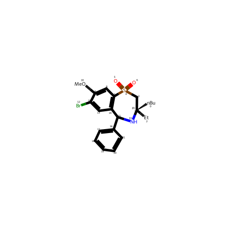 CCCC[C@]1(CC)CS(=O)(=O)c2cc(OC)c(Br)cc2C(c2ccccc2)N1